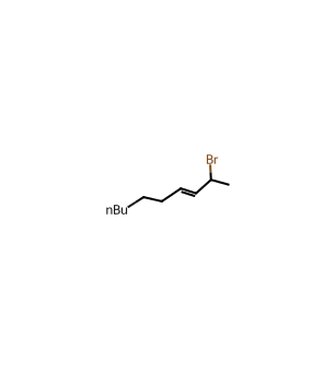 CCCCCC/C=C/C(C)Br